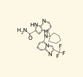 NC(=O)c1cc2c(C3(Nc4cccc5nc(C(F)(F)F)cn45)CCCCC3)ccnc2[nH]1